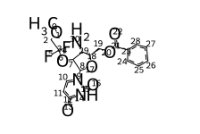 COCC(F)(F)OC1C(n2ccc(=O)[nH]c2=O)O[C@H](COC(=O)c2ccccc2)[C@H]1N